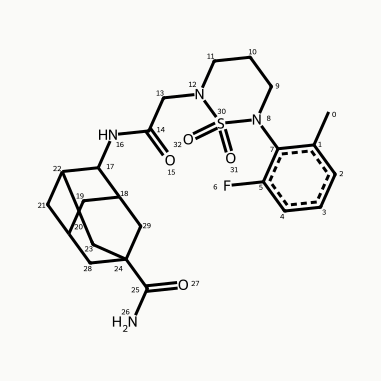 Cc1cccc(F)c1N1CCCN(CC(=O)NC2C3CC4CC2CC(C(N)=O)(C4)C3)S1(=O)=O